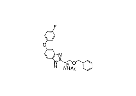 CC(=O)N[C@@H](COCc1ccccc1)c1nc2cc(Oc3ccc(F)cc3)ccc2[nH]1